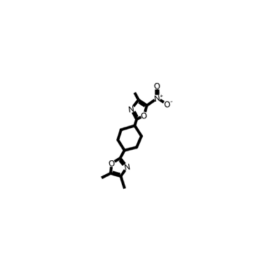 Cc1nc(C2CCC(c3nc(C)c([N+](=O)[O-])o3)CC2)oc1C